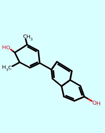 CC1=CC(C2=CC3C=CC(O)=CC3C=C2)=CC(C)C1O